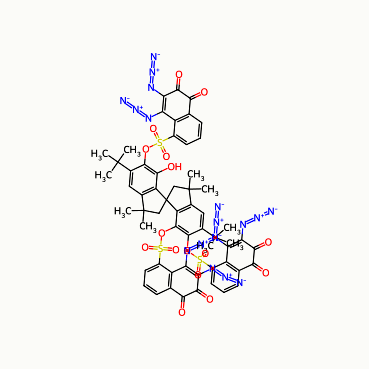 CC(C)(C)c1cc2c(c(O)c1OS(=O)(=O)c1cccc3c1C(N=[N+]=[N-])=C(N=[N+]=[N-])C(=O)C3=O)C1(CC2(C)C)CC(C)(C)c2cc(C(C)(C)C)c(OS(=O)(=O)c3cccc4c3C(N=[N+]=[N-])=C(N=[N+]=[N-])C(=O)C4=O)c(OS(=O)(=O)c3cccc4c3C(N=[N+]=[N-])=C(N=[N+]=[N-])C(=O)C4=O)c21